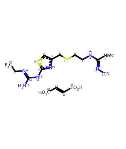 CNC(=NC#N)NCCSCc1csc(NC(N)=NCC(F)(F)F)n1.O=C(O)C=CC(=O)O